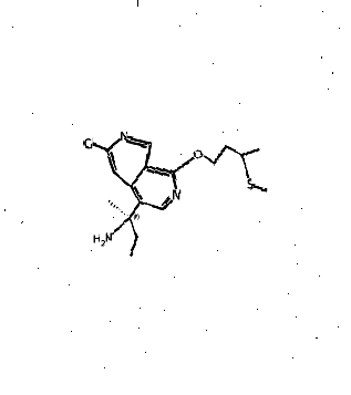 CC[C@@](C)(N)c1cnc(OCCC(C)SC)c2cnc(Cl)cc12